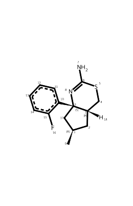 C[C@@H]1C[C@H]2CSC(N)=N[C@@]2(c2ccccc2F)C1